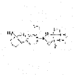 CC1(C)CCCN1c1ccc(B2OC(C)(C)C(C)(C)O2)cn1.N